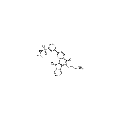 CC(C)NS(=O)(=O)c1cccc(-c2ccc3c(=O)n(CCCN)c4c(c3c2)C(=O)c2ccccc2-4)c1